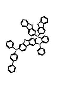 c1ccc(-c2ccc(N(c3ccccc3)c3ccc4c(c3)oc3cc5c(cc34)N(c3ccccc3)c3ccccc3[Si]5(c3ccc4c(c3)oc3ccccc34)c3ccc4c(c3)oc3ccccc34)cc2)cc1